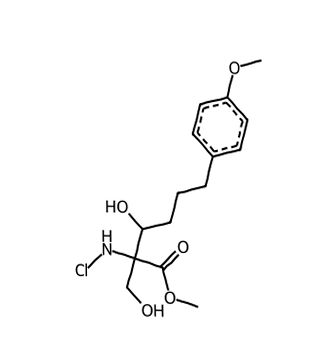 COC(=O)C(CO)(NCl)C(O)CCCc1ccc(OC)cc1